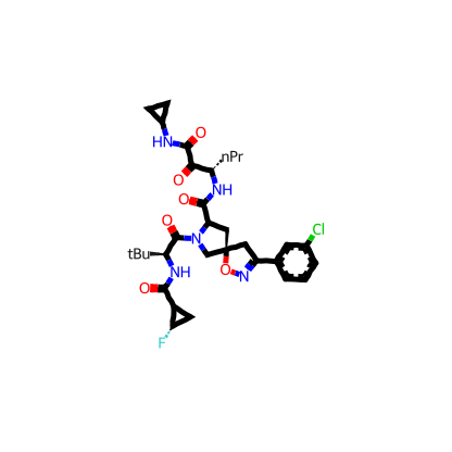 CCC[C@H](NC(=O)C1C[C@]2(CC(c3cccc(Cl)c3)=NO2)CN1C(=O)[C@@H](NC(=O)C1C[C@@H]1F)C(C)(C)C)C(=O)C(=O)NC1CC1